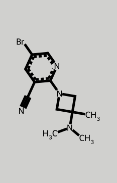 CN(C)C1(C)CN(c2ncc(Br)cc2C#N)C1